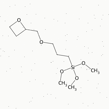 CO[Si](CCCOCC1CCO1)(OC)OC